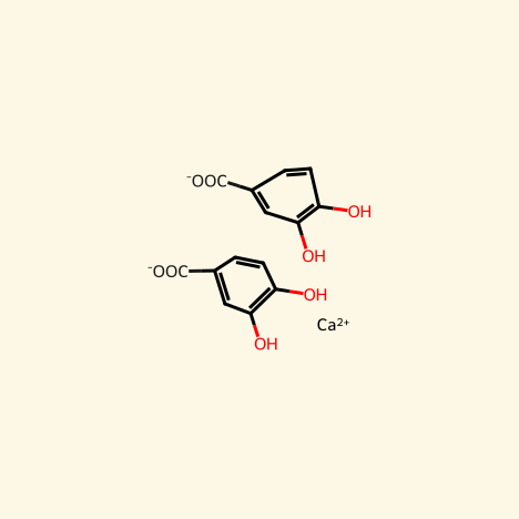 O=C([O-])c1ccc(O)c(O)c1.O=C([O-])c1ccc(O)c(O)c1.[Ca+2]